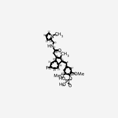 COc1cc(/C=C2/C(C)=C(CC(=O)NCc3cccn3C)c3cc(F)ccc32)cc(OC)c1OP(=O)(O)O